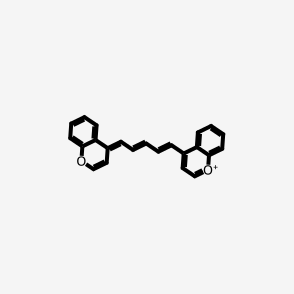 C1=C\C(=C/C=C/C=C/c2cc[o+]c3ccccc23)c2ccccc2O1